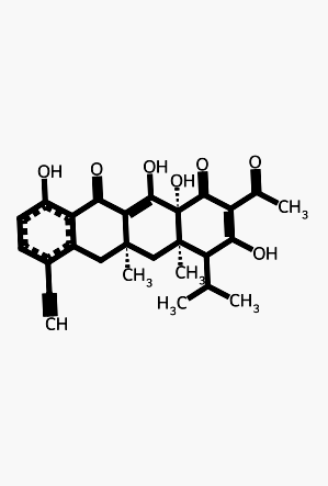 C#Cc1ccc(O)c2c1C[C@]1(C)C[C@]3(C)C(C(C)C)C(O)=C(C(C)=O)C(=O)[C@]3(O)C(O)=C1C2=O